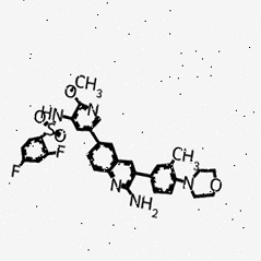 COc1ncc(-c2ccc3nc(N)c(-c4ccc(N5CCOCC5)c(C)c4)cc3c2)cc1NS(=O)(=O)c1ccc(F)cc1F